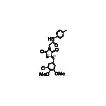 [CH2]Oc1c(Cl)cc(/C=C2\SC(=O)N(CC(=O)Nc3ccc(C)cc3)C2=O)cc1OC